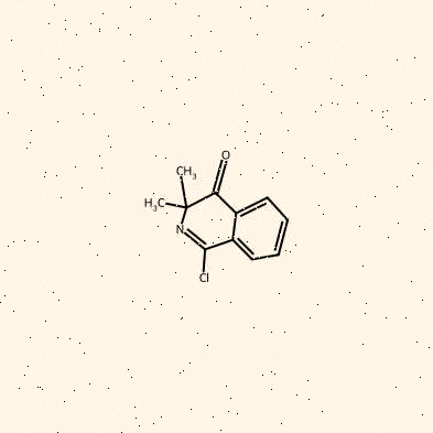 CC1(C)N=C(Cl)c2ccccc2C1=O